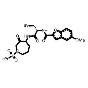 CCCS(=O)(=O)N1CCCC(NC(=O)[C@H](CC(C)C)NC(=O)c2cc3cc(OC)ccc3o2)C(=O)C1